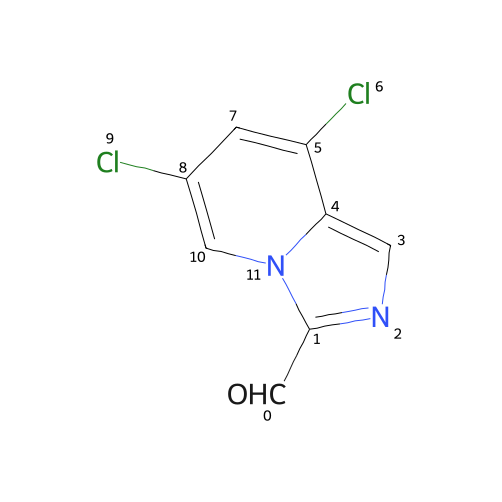 O=Cc1ncc2c(Cl)cc(Cl)cn12